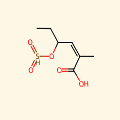 CCC(C=C(C)C(=O)O)O[SH](=O)=O